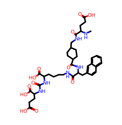 CNC(CCC(=O)O)C(=O)NCC1CCC(C(=O)NC(Cc2ccc3ccccc3c2)C(=O)NCCCCC(NC(=O)NC(CCC(=O)O)C(=O)O)C(=O)O)CC1